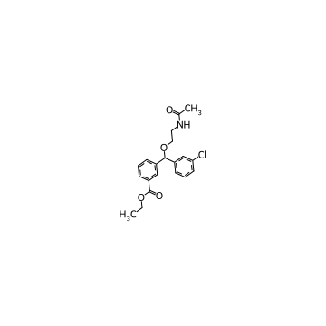 CCOC(=O)c1cccc(C(OCCNC(C)=O)c2cccc(Cl)c2)c1